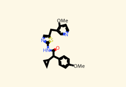 COc1ccc(C(C(=O)Nc2ncc(Cc3cnccc3OC)s2)C2CC2)cc1